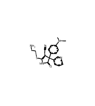 CN(C)c1ccc(C2(c3cccnc3)C(=O)NC(SCCN)=C2C#N)cc1